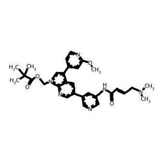 COc1cc(-c2cn(COC(=O)C(C)(C)C)c3ncc(-c4cncc(NC(=O)C=CCN(C)C)c4)cc23)ccn1